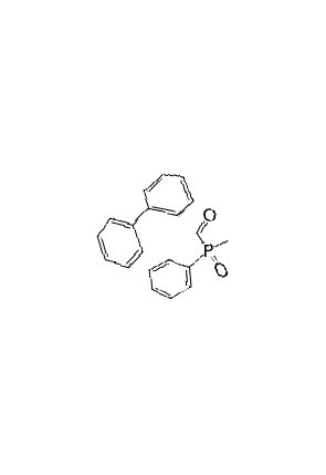 CP(=O)(C=O)c1ccccc1.c1ccc(-c2ccccc2)cc1